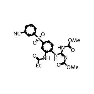 CCC(=O)Nc1cc(S(=O)(=O)c2cccc(C#N)c2)ccc1NC(=NC(=O)OC)NC(=O)OC